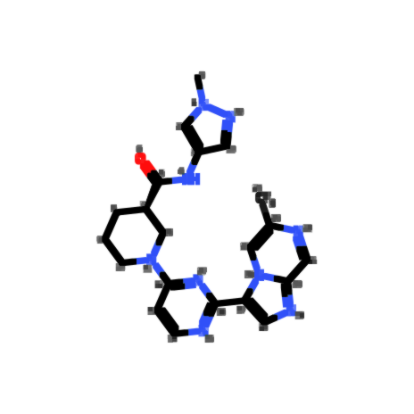 Cn1cc(NC(=O)[C@@H]2CCCN(c3ccnc(-c4cnc5cnc(C(F)(F)F)cn45)n3)C2)cn1